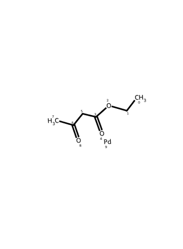 CCOC(=O)CC(C)=O.[Pd]